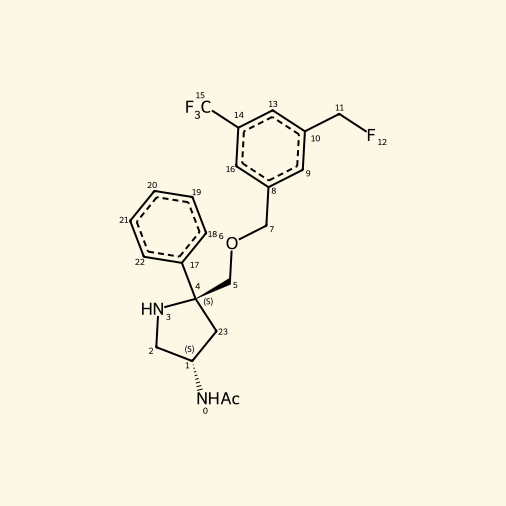 CC(=O)N[C@@H]1CN[C@](COCc2cc(CF)cc(C(F)(F)F)c2)(c2ccccc2)C1